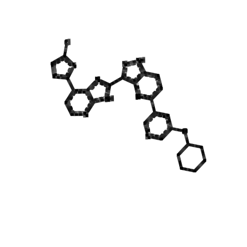 Clc1ccc(-c2ccnc3[nH]c(-c4n[nH]c5ccc(-c6cncc(OC7CCCCC7)c6)nc45)nc23)s1